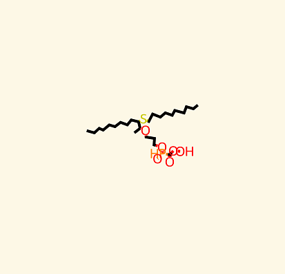 CCCCCCCCCCSC(CCCCCCCCC)C(C)OCCCO[PH](=O)C(=O)OO